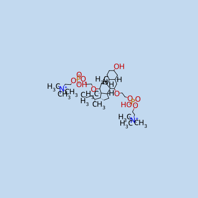 CCC[C@@H](C)[C@H]1CC[C@H]2[C@@H]3[C@H](OCCOP(=O)(O)OCC[N+](C)(C)C)C[C@@H]4C[C@H](O)CC[C@]4(C)[C@H]3C[C@H](OCCOP(=O)(O)OCC[N+](C)(C)C)[C@]12C